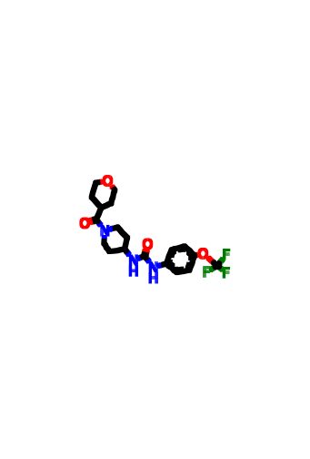 O=C(Nc1ccc(OC(F)(F)F)cc1)NC1CCN(C(=O)C2CCOCC2)CC1